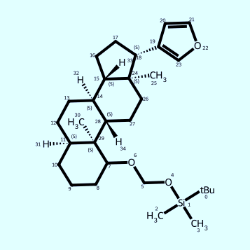 CC(C)(C)[Si](C)(C)OCOC1CCC[C@H]2CC[C@H]3[C@@H]4CC[C@H](c5ccoc5)[C@@]4(C)CC[C@@H]3[C@@]12C